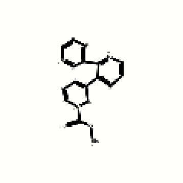 CC(C)(C)OC(=O)N1C=CC=C(c2cccnc2-c2cccnc2)C1